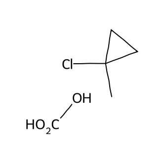 CC1(Cl)CC1.O=C(O)O